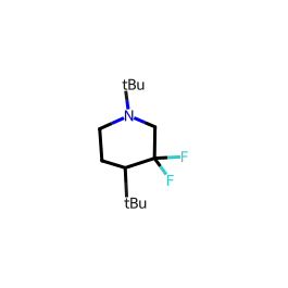 CC(C)(C)C1CCN(C(C)(C)C)CC1(F)F